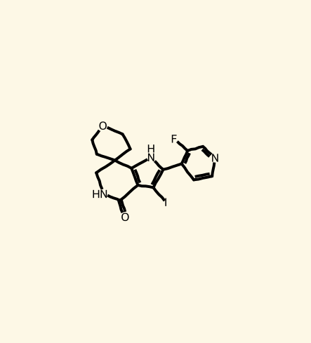 O=C1NCC2(CCOCC2)c2[nH]c(-c3ccncc3F)c(I)c21